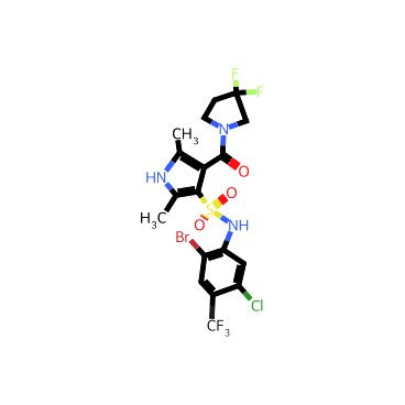 Cc1[nH]c(C)c(S(=O)(=O)Nc2cc(Cl)c(C(F)(F)F)cc2Br)c1C(=O)N1CCC(F)(F)C1